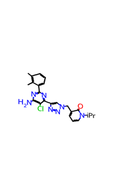 Cc1cccc(-c2nc(N)c(Cl)c(-c3cn(Cc4cccn(C(C)C)c4=O)nn3)n2)c1C